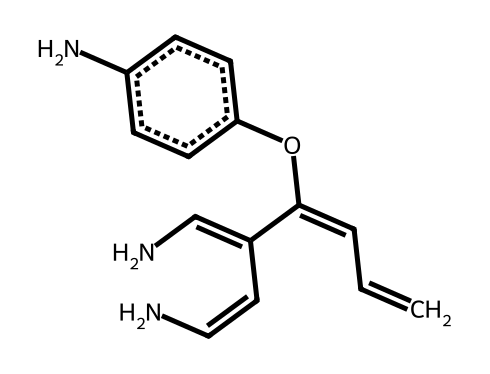 C=C/C=C(/Oc1ccc(N)cc1)C(=CN)/C=C\N